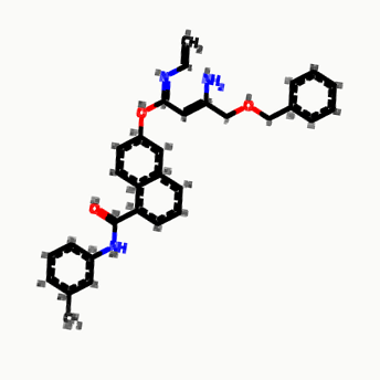 C=C/N=C(\C=C(/N)COCc1ccccc1)Oc1ccc2c(C(=O)Nc3cccc(C(F)(F)F)c3)cccc2c1